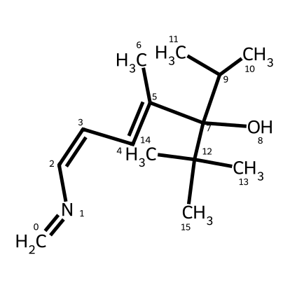 C=N/C=C\C=C(/C)C(O)(C(C)C)C(C)(C)C